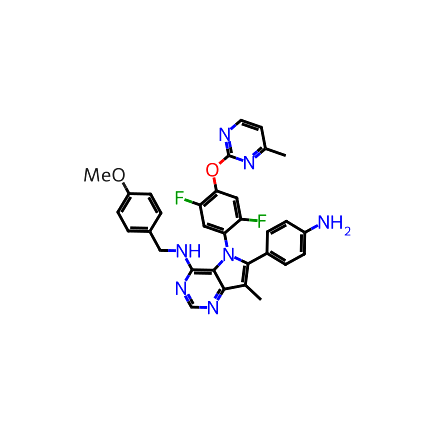 COc1ccc(CNc2ncnc3c(C)c(-c4ccc(N)cc4)n(-c4cc(F)c(Oc5nccc(C)n5)cc4F)c23)cc1